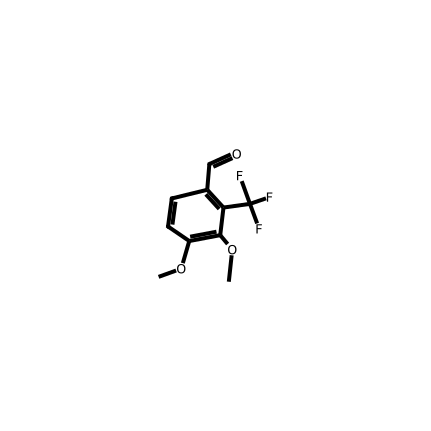 COc1ccc(C=O)c(C(F)(F)F)c1OC